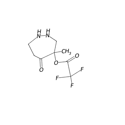 CC1(OC(=O)C(F)(F)F)CNNCCC1=O